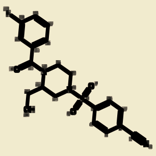 N#Cc1ccc(S(=O)(=O)N2CCN(C(=O)c3cccc(F)c3)C(CO)C2)cc1